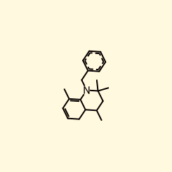 CC1=C2C(CC=C1)C(C)CC(C)(C)N2Cc1ccccc1